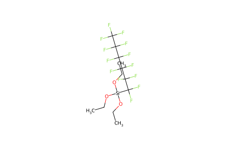 CCO[Si](OCC)(OCC)C(F)(F)C(F)(F)C(F)(F)C(F)(F)C(F)(F)C(F)(F)F